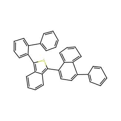 c1ccc(-c2ccccc2-c2sc(-c3ccc(-c4ccccc4)c4ccccc34)c3ccccc23)cc1